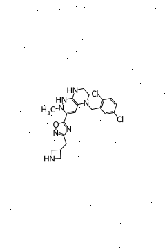 CN1NC2=C(C=C1c1nc(CC3CNC3)no1)N(Cc1cc(Cl)ccc1Cl)CCN2